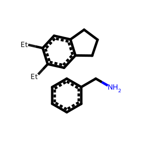 CCc1cc2c(cc1CC)CCC2.NCc1ccccc1